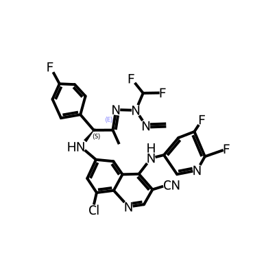 C=NN(/N=C(\C)[C@@H](Nc1cc(Cl)c2ncc(C#N)c(Nc3cnc(F)c(F)c3)c2c1)c1ccc(F)cc1)C(F)F